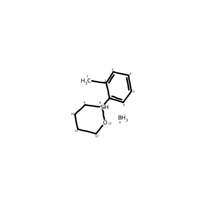 B.Cc1ccccc1[SiH]1CCCCO1